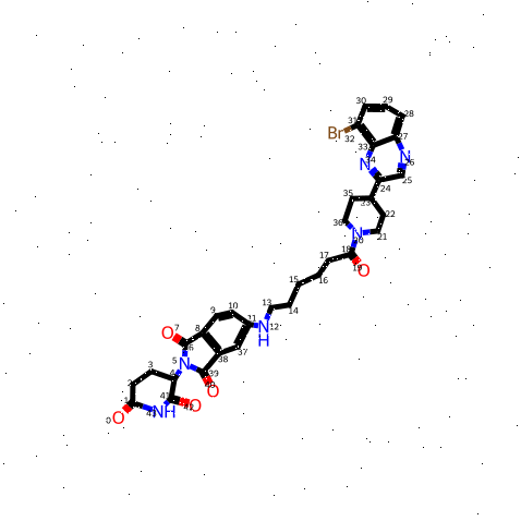 O=C1CCC(N2C(=O)c3ccc(NCCCCCC(=O)N4CCC(c5cnc6cccc(Br)c6n5)CC4)cc3C2=O)C(=O)N1